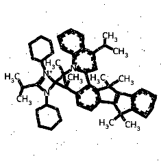 CC(C)C1=[N+](C2CCCCC2)C2(N1C1CCCCC1)C1(C)c3ccc4c(c3-c3cc(C(C)C)c5ccccc5[n+]3C12C)C(C)(C)C1=C4C(C)(C)c2ccccc21